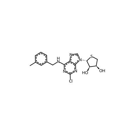 Cc1cccc(CNc2nc(Cl)nc3c2ncn3[C@@H]2SC[C@@H](O)[C@H]2O)c1